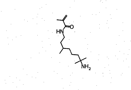 C=C(C)C(=O)NCCC(C)CCCC(C)(C)N